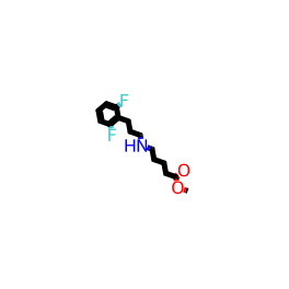 COC(=O)CCCCNCCCc1c(F)cccc1F